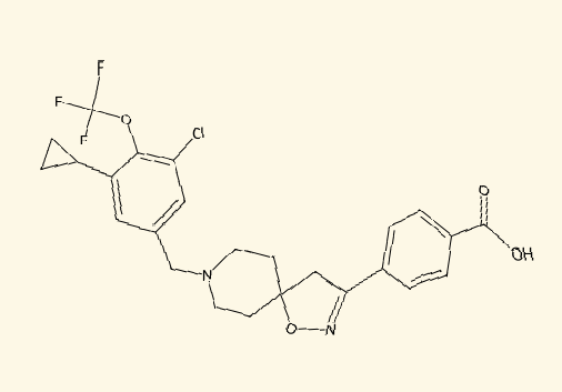 O=C(O)c1ccc(C2=NOC3(CCN(Cc4cc(Cl)c(OC(F)(F)F)c(C5CC5)c4)CC3)C2)cc1